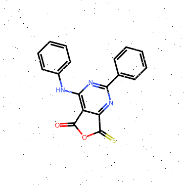 O=C1OC(=S)c2nc(-c3ccccc3)nc(Nc3ccccc3)c21